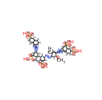 COc1cc(N=Nc2ccc(/C=C\c3ccc(-n4n5c6ccc7cc(S(=O)(=O)O)ccc7c6n45)cc3S(=O)(=O)O)c(S(=O)(=O)O)c2)c(C)cc1-n1n2c3cc(S(=O)(=O)O)c4cc(S(=O)(=O)O)ccc4c3n12